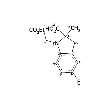 CCOC(=O)CN1c2ccc(F)cc2CC1(C)C(=O)O